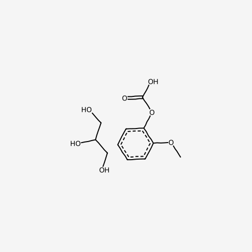 COc1ccccc1OC(=O)O.OCC(O)CO